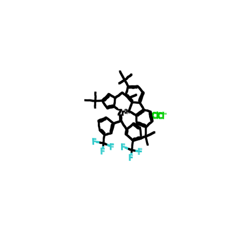 CCCC1C=C(C(C)(C)C)C=[C]1[Zr+2](=[C](c1cccc(C(F)(F)F)c1)c1cccc(C(F)(F)F)c1)[CH]1c2cc(C(C)(C)C)ccc2-c2ccc(C(C)(C)C)cc21.[Cl-].[Cl-]